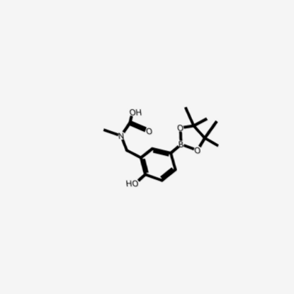 CN(Cc1cc(B2OC(C)(C)C(C)(C)O2)ccc1O)C(=O)O